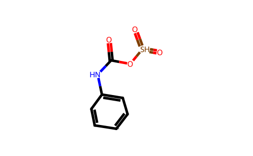 O=C(Nc1cc[c]cc1)O[SH](=O)=O